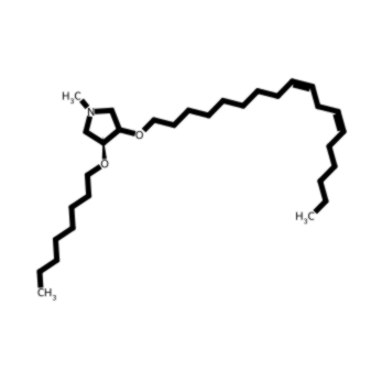 CCCCC/C=C\C/C=C\CCCCCCCCOC1CN(C)C[C@@H]1OCCCCCCCC